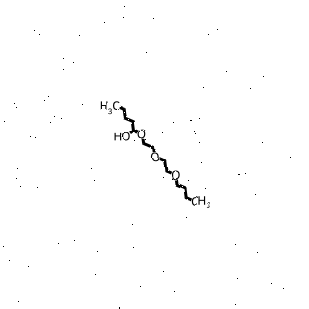 CCCCOCCOCCOC(O)CCCC